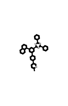 Cc1ccc(-c2ccc(-c3cc(-c4nc(-c5ccccc5)nc(-c5ccccc5)n4)cc(-c4cccc5ccccc45)c3)cc2)cn1